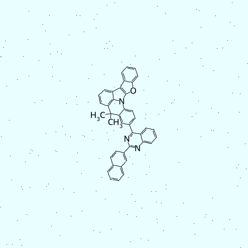 CC1(C)c2cc(-c3nc(-c4ccc5ccccc5c4)nc4ccccc34)ccc2-n2c3oc4ccccc4c3c3cccc1c32